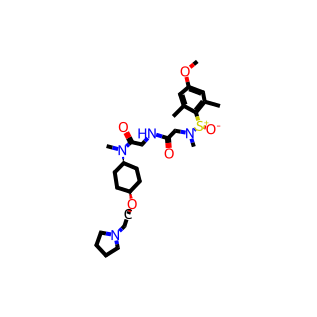 COc1cc(C)c([S+]([O-])N(C)CC(=O)NCC(=O)N(C)[C@H]2CC[C@H](OCCN3CCCC3)CC2)c(C)c1